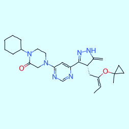 C=C1NN=C(c2cc(N3CCN(C4CCCCC4)C(=O)C3)ncn2)[C@H]1C/C(=C\C)OC1(C)CC1